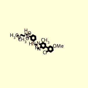 COc1ccc(Cl)c(-c2cc(C)c3nc(Nc4cccc(S(=O)(=O)NCCN(C)C)c4)nnc3c2)c1